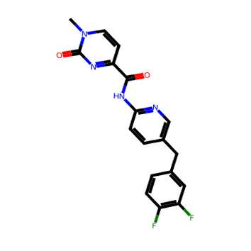 Cn1ccc(C(=O)Nc2ccc(Cc3ccc(F)c(F)c3)cn2)nc1=O